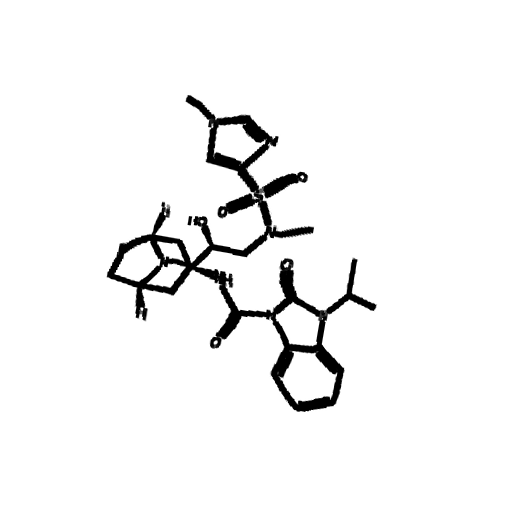 CC(C)n1c(=O)n(C(=O)N[C@@H]2C[C@H]3CC[C@@H](C2)N3C[C@@H](O)CN(C)S(=O)(=O)c2cn(C)cn2)c2ccccc21